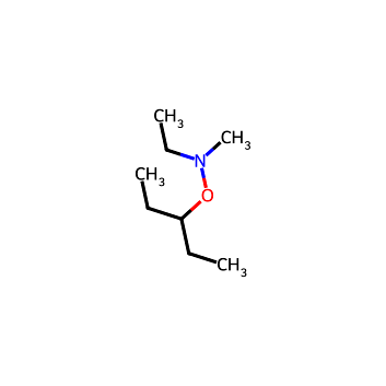 CCC(CC)ON(C)CC